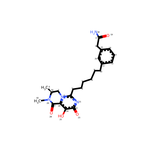 C[C@H]1Cn2c(CCCCCCc3cccc(CC(N)=O)c3)nc(=O)c(O)c2C(=O)N1C